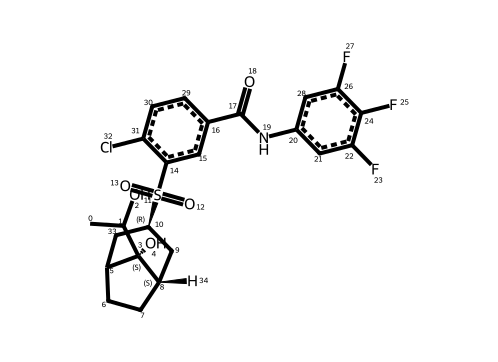 CC(O)[C@]1(O)C2CC[C@H]1C[C@H](S(=O)(=O)c1cc(C(=O)Nc3cc(F)c(F)c(F)c3)ccc1Cl)C2